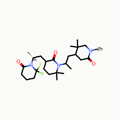 CC(C)N1CC(C)(C)C(CC(C)N2C(=O)C(C[C@@H](C)N3C(=O)CCCC3(F)F)CCC2(C)C)CC1=O